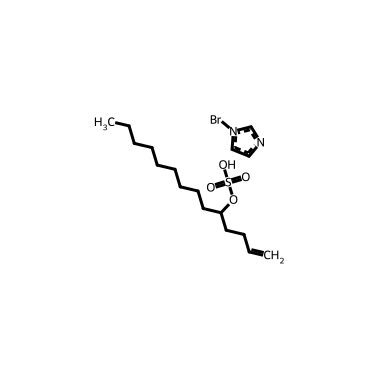 Brn1ccnc1.C=CCCC(CCCCCCCCC)OS(=O)(=O)O